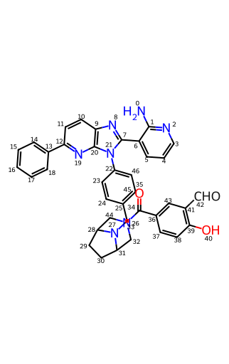 Nc1ncccc1-c1nc2ccc(-c3ccccc3)nc2n1-c1ccc(CN2C3CCC2CN(C(=O)c2ccc(O)c(C=O)c2)C3)cc1